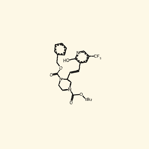 CC(C)(C)OC(=O)N1CCN(C(=O)OCc2ccccc2)C(C=Cc2cc(C(F)(F)F)cnc2O)C1